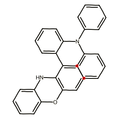 c1ccc(N(c2ccccc2)c2ccccc2-c2cccc3c2Nc2ccccc2O3)cc1